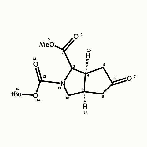 COC(=O)C1[C@H]2CC(=O)C[C@H]2CN1C(=O)OC(C)(C)C